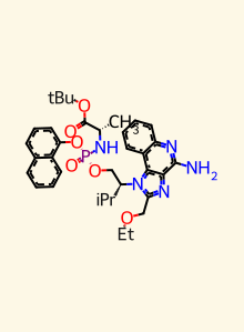 CCOCc1nc2c(N)nc3ccccc3c2n1[C@H](COP(=O)(N[C@@H](C)C(=O)OC(C)(C)C)Oc1cccc2ccccc12)C(C)C